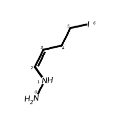 NN/C=C\CCI